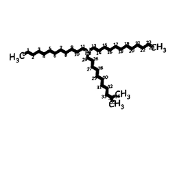 CCCCCCCCCCCCN(CCCCCCCCCCCC)CCCCCCCCCC(C)C